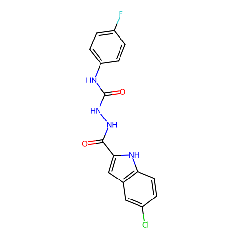 O=C(NNC(=O)c1cc2cc(Cl)ccc2[nH]1)Nc1ccc(F)cc1